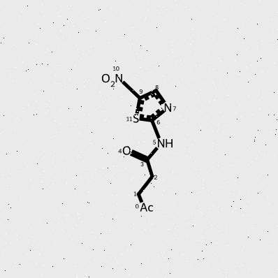 CC(=O)CCC(=O)Nc1ncc([N+](=O)[O-])s1